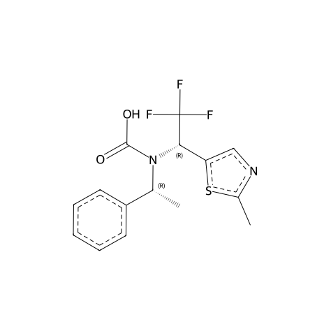 Cc1ncc([C@H](N(C(=O)O)[C@H](C)c2ccccc2)C(F)(F)F)s1